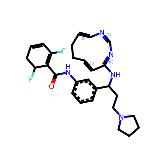 O=C(Nc1cccc(C(CCN2CCCC2)NC2=N/C=N\C=C\CC\C=C\2)c1)C1=C(F)C=CCC1F